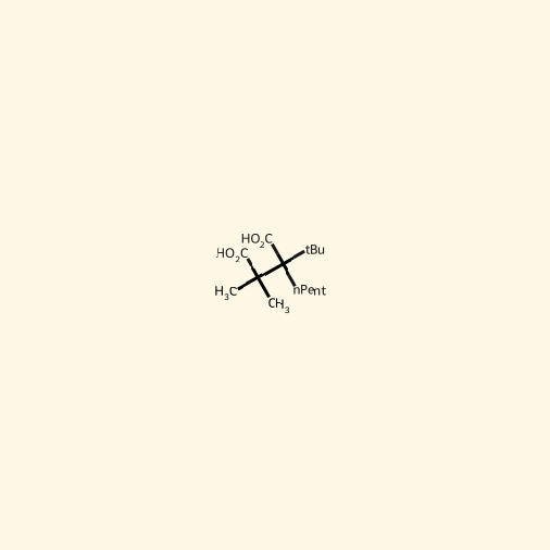 CCCCCC(C(=O)O)(C(C)(C)C)C(C)(C)C(=O)O